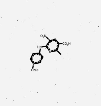 COc1ccc(Nc2nc(C)c(C(=O)O)cc2[N+](=O)[O-])cc1